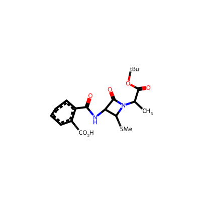 CSC1C(NC(=O)c2ccccc2C(=O)O)C(=O)N1C(C)C(=O)OC(C)(C)C